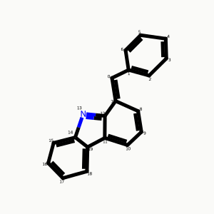 C(c1ccccc1)=c1cccc2c1=Nc1ccccc1-2